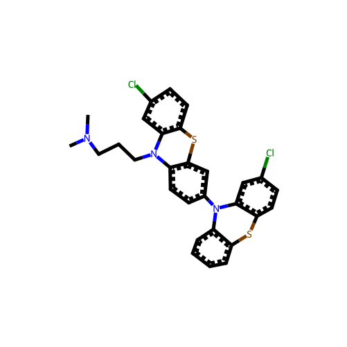 CN(C)CCCN1c2ccc(N3c4ccccc4Sc4ccc(Cl)cc43)cc2Sc2ccc(Cl)cc21